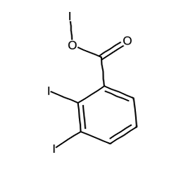 O=C(OI)c1cccc(I)c1I